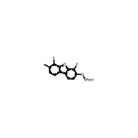 CCCCCOc1ccc2c(oc3c(F)c(C)ccc32)c1F